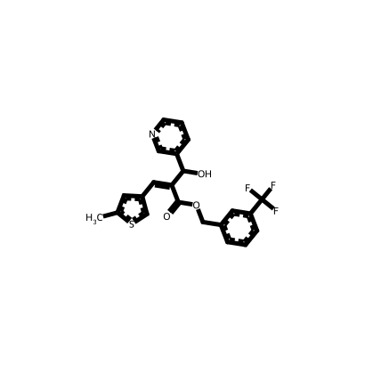 Cc1cc(C=C(C(=O)OCc2cccc(C(F)(F)F)c2)C(O)c2cccnc2)cs1